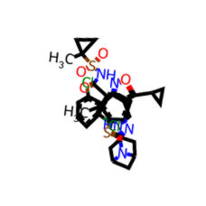 Cc1c(C(=O)NS(=O)(=O)C2(C)CC2)ccc2nc(N3C4CC(NCc5c(-c6c(Cl)cccc6Cl)noc5C5CC5)CC3C4)sc12